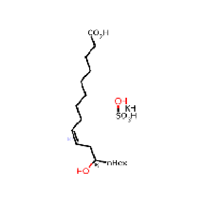 CCCCCC[C@@H](O)C/C=C\CCCCCCCC(=O)O.O=S(=O)(O)O.[KH]